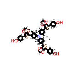 Cc1cc(C2=C3OCCOC3C(c3ccc(O)cc3)S2)ccc1N(c1ccc(-c2sc(-c3ccc(O)cc3)c3c2OCCO3)cc1C)c1ccc(-c2sc(-c3ccc(O)cc3)c3c2OCCO3)cc1C